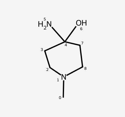 CN1CCC(N)(O)CC1